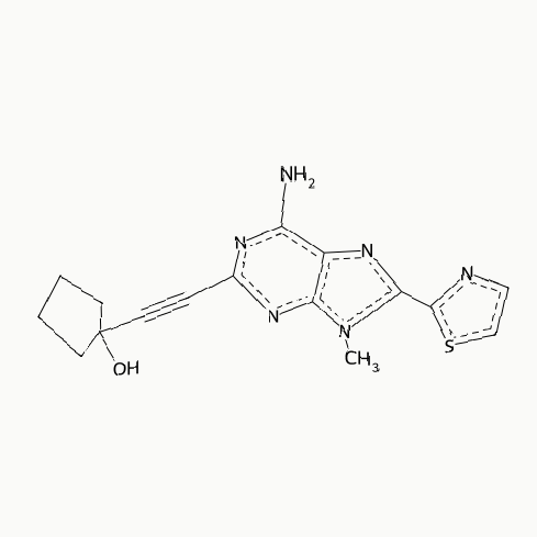 Cn1c(-c2nccs2)nc2c(N)nc(C#CC3(O)CCCC3)nc21